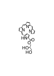 O=C(OCC(O)CO)c1ccc(C=C2C=CC(C=C3C=CC(C=C4C=CC=N4)=N3)=N2)[nH]1